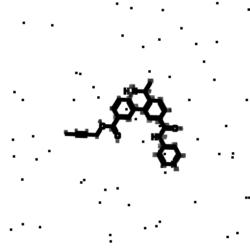 CC#CCOC(=O)c1cccc(-c2cc(C(=O)Nc3ccncc3)ccc2C(C)N)c1